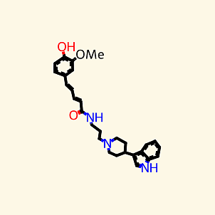 COc1cc(C=CC=CC(=O)NCCCN2CCC(c3c[nH]c4ccccc34)CC2)ccc1O